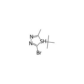 CC1=NN=C(Br)[SH]1C(C)(C)C